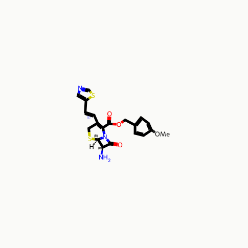 COc1ccc(COC(=O)C2=C(/C=C/c3cncs3)CS[C@@H]3[C@H](N)C(=O)N23)cc1